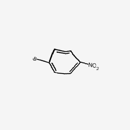 [B]c1ccc([N+](=O)[O-])cc1